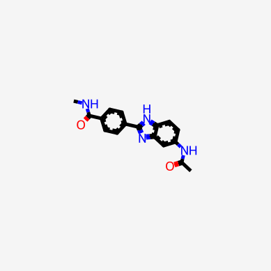 CNC(=O)c1ccc(-c2nc3cc(NC(C)=O)ccc3[nH]2)cc1